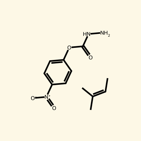 CC=C(C)C.NNC(=O)Oc1ccc([N+](=O)[O-])cc1